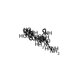 CC[C@H](C)[C@H](NC(=O)[C@H](Cc1c[nH]c2ccccc12)NC(=O)CNC(=O)[C@@H](N)CCCNC(=N)N)C(=O)N[C@@H](Cc1ccccc1)C(=O)NCC(=O)N[C@@H](CO)C(=O)N[C@H](C(=O)O)[C@@H](C)O